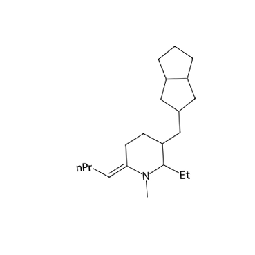 CCC/C=C1\CCC(CC2CC3CCCC3C2)C(CC)N1C